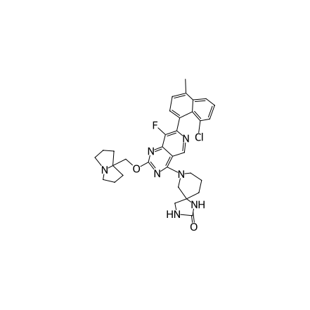 Cc1ccc(-c2ncc3c(N4CCCC5(CNC(=O)N5)C4)nc(OCC45CCCN4CCC5)nc3c2F)c2c(Cl)cccc12